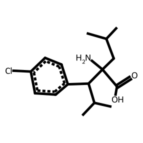 CC(C)CC(N)(C(=O)O)C(c1ccc(Cl)cc1)C(C)C